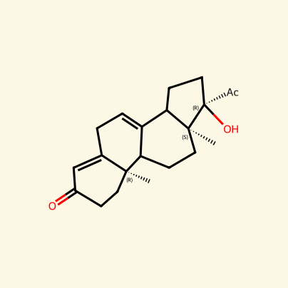 CC(=O)[C@@]1(O)CCC2C3=CCC4=CC(=O)CC[C@]4(C)C3CC[C@@]21C